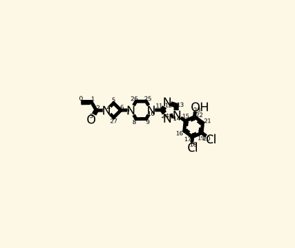 C=CC(=O)N1CC(N2CCN(c3ncn(-c4cc(Cl)c(Cl)cc4O)n3)CC2)C1